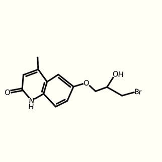 Cc1cc(=O)[nH]c2ccc(OCC(O)CBr)cc12